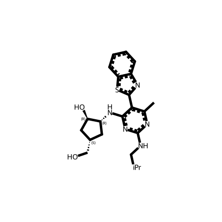 Cc1nc(NCC(C)C)nc(N[C@@H]2C[C@H](CO)C[C@H]2O)c1-c1nc2ccccc2s1